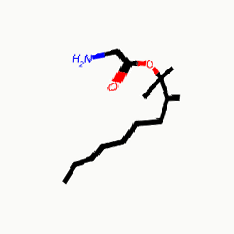 CCCCCCCC(C)C(C)(C)OC(=O)CN